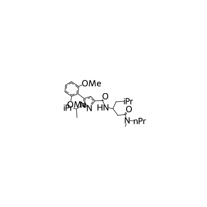 CCCN(C)C(=O)CC(CC(C)C)NC(=O)c1cc(-c2c(OC)cccc2OC)n(C(C)C(C)C)n1